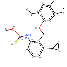 CCc1cc(C)c(C)cc1OCc1c(NC(=S)OC)cccc1C1CC1